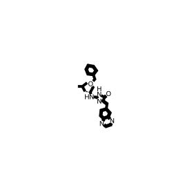 CC(C)C[C@H](COCc1ccccc1)NC1=N/C(=C\c2ccc3nccnc3c2)C(=O)N1